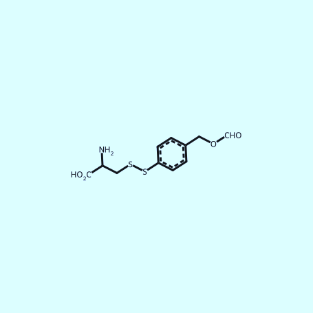 NC(CSSc1ccc(COC=O)cc1)C(=O)O